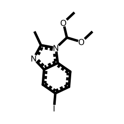 COC(OC)n1c(C)nc2cc(I)ccc21